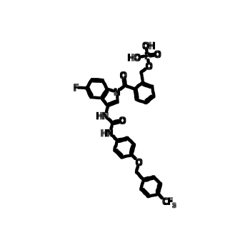 O=C(Nc1ccc(OCc2ccc(C(F)(F)F)cc2)cc1)Nc1cn(C(=O)c2ccccc2COP(=O)(O)O)c2ccc(F)cc12